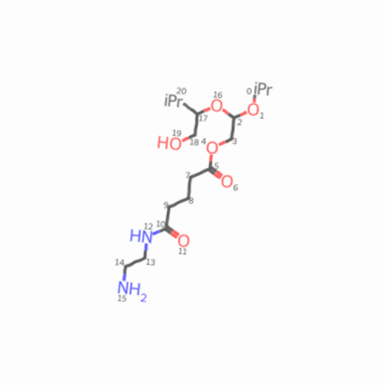 CC(C)OC(COC(=O)CCCC(=O)NCCN)OC(CO)C(C)C